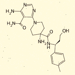 Cc1ccc([C@H](CCO)NC(=O)C2(N)CCN(c3ncnc(N)c3C(N)=O)CC2)cc1